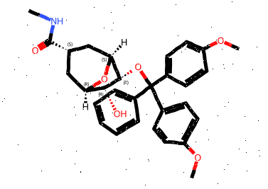 CNC(=O)[C@@H]1C[C@@H]2O[C@H](C1)[C@@H](O)[C@H]2OC(c1ccccc1)(c1ccc(OC)cc1)c1ccc(OC)cc1